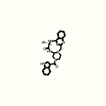 CC(C)[C@@H]1Nc2nc(nc3ccccc23)CN2CCN(C(=O)c3c[nH]c4ccccc34)CC2NC1=O